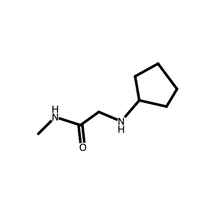 CNC(=O)CNC1CCCC1